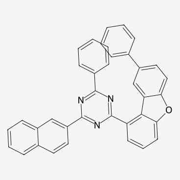 c1ccc(-c2ccc3oc4cccc(-c5nc(-c6ccccc6)nc(-c6ccc7ccccc7c6)n5)c4c3c2)cc1